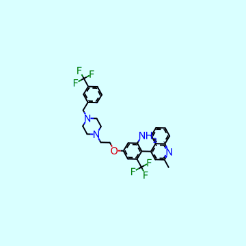 Cc1cc(-c2c(N)cc(OCCN3CCN(Cc4cccc(C(F)(F)F)c4)CC3)cc2C(F)(F)F)c2ccccc2n1